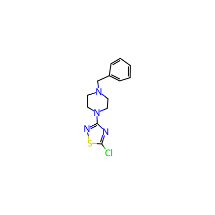 Clc1nc(N2CCN(Cc3ccccc3)CC2)ns1